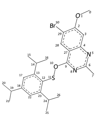 COc1cc2nc(C)nc(OSc3c(C(C)C)cc(C(C)C)cc3C(C)C)c2cc1Br